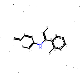 C=C/C=C\C(=C/C)N/C(=C/C)c1ccccc1C